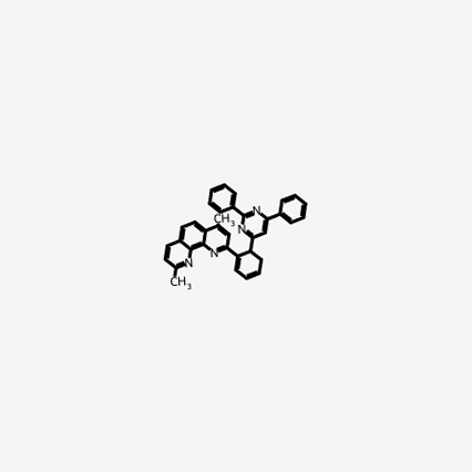 Cc1ccc2ccc3c(C)cc(C4=CC=CCC4c4cc(-c5ccccc5)nc(-c5ccccc5)n4)nc3c2n1